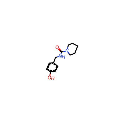 O=C(NCc1ccc(O)cc1)N1CCCCC1